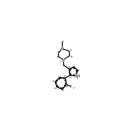 CN1CCN(Cc2cc[nH]c2-c2ccccc2F)CC1